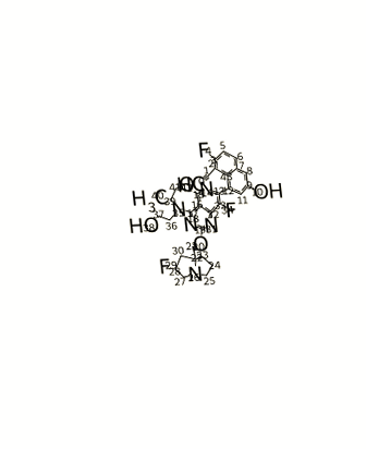 C#Cc1c(F)ccc2cc(O)cc(-c3nc4c5c(nc(OC[C@@]67CCCN6C[C@H](F)C7)nc5c3F)N(CCO)[C@H](C)CO4)c12